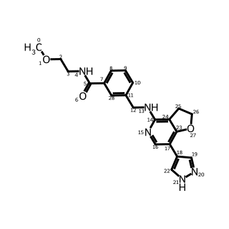 COCCNC(=O)c1cccc(CNc2ncc(-c3cn[nH]c3)c3c2CCO3)c1